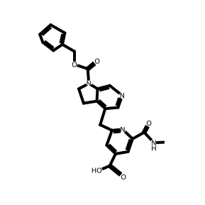 CNC(=O)c1cc(C(=O)O)cc(Cc2cncc3c2CCN3C(=O)OCc2ccccc2)n1